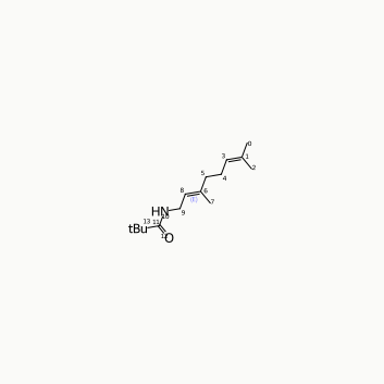 CC(C)=CCC/C(C)=C/CNC(=O)C(C)(C)C